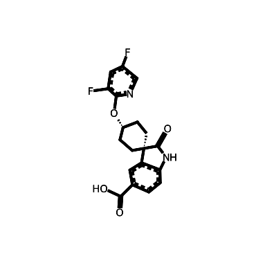 O=C(O)c1ccc2c(c1)[C@]1(CC[C@@H](Oc3ncc(F)cc3F)CC1)C(=O)N2